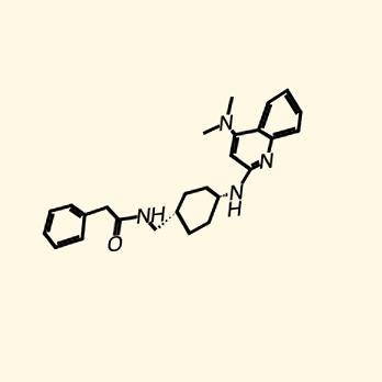 CN(C)c1cc(N[C@H]2CC[C@@H](CNC(=O)Cc3ccccc3)CC2)nc2ccccc12